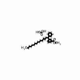 CCCCCCCCCCCCCCCC(c1ccccc1)c1cccc(C(=O)OC)c1.O=C(O)O